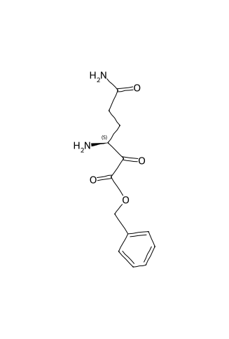 NC(=O)CC[C@H](N)C(=O)C(=O)OCc1ccccc1